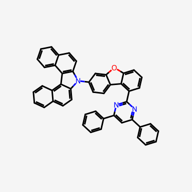 c1ccc(-c2cc(-c3ccccc3)nc(-c3cccc4oc5cc(-n6c7ccc8ccccc8c7c7c8ccccc8ccc76)ccc5c34)n2)cc1